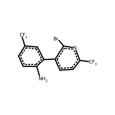 Nc1ccc(C(F)(F)F)cc1-c1ccc(C(F)(F)F)nc1Br